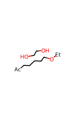 CCOCCCCCC(C)=O.OCCO